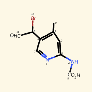 Cc1cc(NC(=O)O)ncc1C(Br)C=O